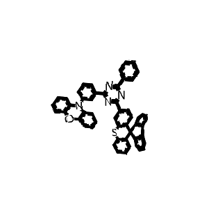 c1ccc(-c2nc(-c3cccc(N4c5ccccc5Oc5ccccc54)c3)nc(-c3ccc4c(c3)Sc3ccccc3C43c4ccccc4-c4ccccc43)n2)cc1